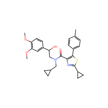 COc1ccc(C(O)CN(CC2CC2)C(=O)c2nc(C3CC3)sc2-c2ccc(C)cc2)cc1OC